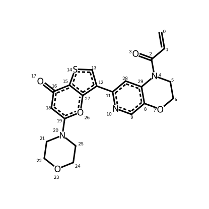 C=CC(=O)N1CCOc2cnc(-c3csc4c(=O)cc(N5CCOCC5)oc34)cc21